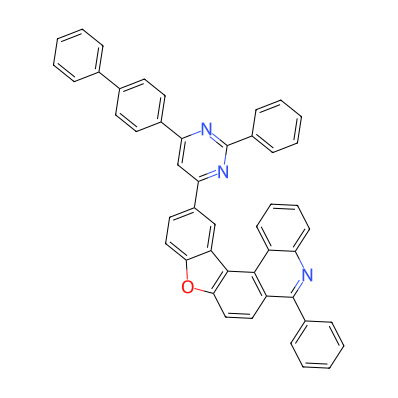 c1ccc(-c2ccc(-c3cc(-c4ccc5oc6ccc7c(-c8ccccc8)nc8ccccc8c7c6c5c4)nc(-c4ccccc4)n3)cc2)cc1